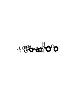 CN(C)C(=O)c1ccc(-c2cc3cnc(Nc4cccc(Oc5ccccc5)c4)cc3[nH]2)cc1